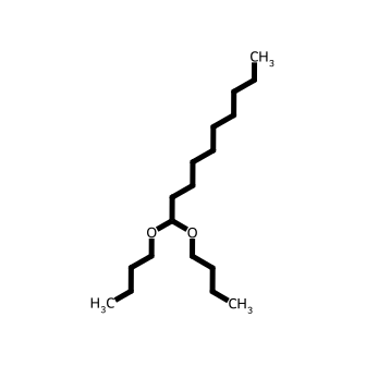 CCCCCCCCCC(OCCCC)OCCCC